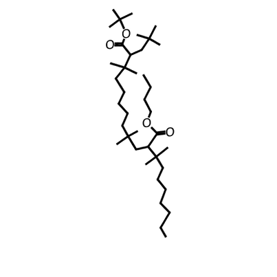 CCCCCCCC(C)(C)C(CC(C)(C)CCCCCC(C)(C)C(CC(C)(C)C)C(=O)OC(C)(C)C)C(=O)OCCCC